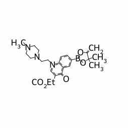 C=C1OB(c2ccc3c(c2)c(=O)c(C(=O)OCC)cn3CCN2CCN(C)CC2)OC1(C)C